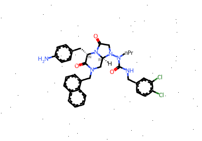 CCCN(C(=O)NCc1ccc(Cl)c(Cl)c1)N1CC(=O)N2[C@@H](Cc3ccc(N)cc3)C(=O)N(Cc3cccc4ccccc34)C[C@@H]21